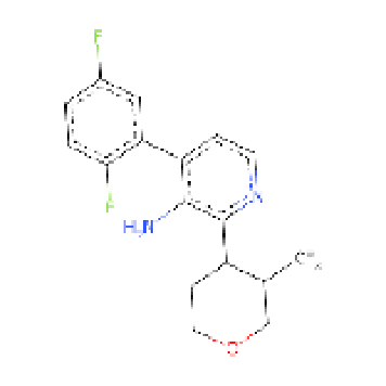 Nc1c(-c2cc(F)ccc2F)ccnc1C1CCOCC1C(F)(F)F